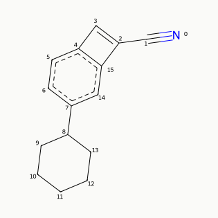 N#CC1=Cc2ccc(C3CCCCC3)cc21